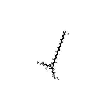 C=CCCCCCCCCCCCCCCCC[Si](C)(OCCOC)OCCOC